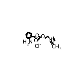 Cn1cc[n+](CCOC2=COC(c3ccccc3N)O2)c1.[Cl-]